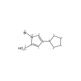 O=C(O)c1cc(C2CCCC2)cn1Br